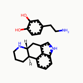 NCCc1ccc(O)c(O)c1.c1cc2c3c(c[nH]c3c1)C[C@H]1NCCC[C@H]21